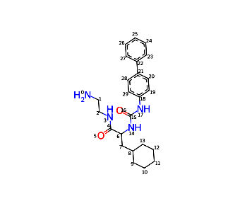 NCCNC(=O)C(CC1CCCCC1)NC(=O)Nc1ccc(-c2ccccc2)cc1